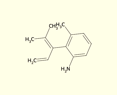 C=CC(=C(C)C)c1c(C)cccc1N